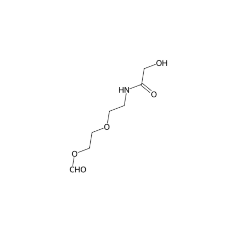 O=COCCOCCNC(=O)CO